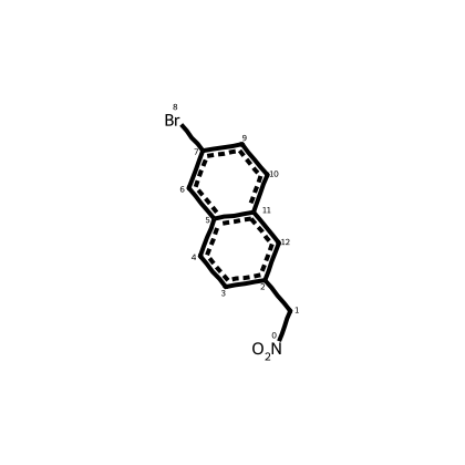 O=[N+]([O-])Cc1ccc2cc(Br)ccc2c1